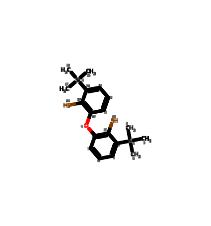 C[Si](C)(C)c1cccc(Oc2cccc([Si](C)(C)C)c2S)c1S